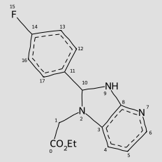 CCOC(=O)CN1c2cccnc2NC1c1ccc(F)cc1